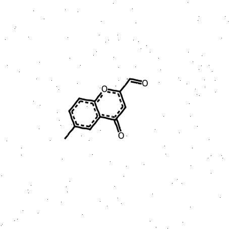 Cc1ccc2oc([C]=O)cc(=O)c2c1